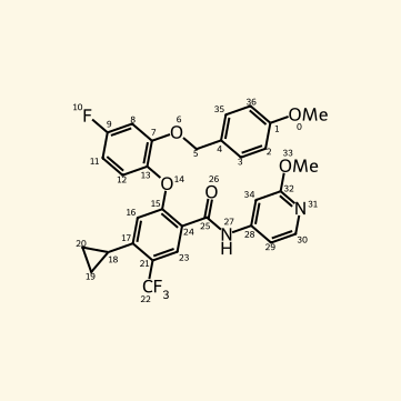 COc1ccc(COc2cc(F)ccc2Oc2cc(C3CC3)c(C(F)(F)F)cc2C(=O)Nc2ccnc(OC)c2)cc1